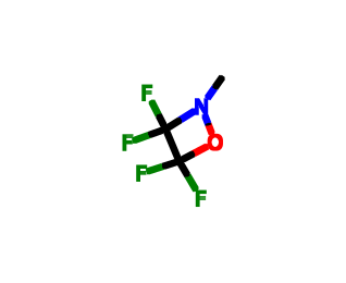 CN1OC(F)(F)C1(F)F